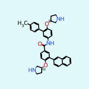 Cc1ccc(-c2cc(NC(=O)c3ccc(O[C@H]4CCNC4)c(-c4ccc5ccccc5c4)c3)ccc2O[C@H]2CCNC2)cc1